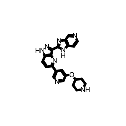 c1cc2[nH]c(-c3n[nH]c4ccc(-c5cncc(OC6CCNCC6)c5)nc34)nc2cn1